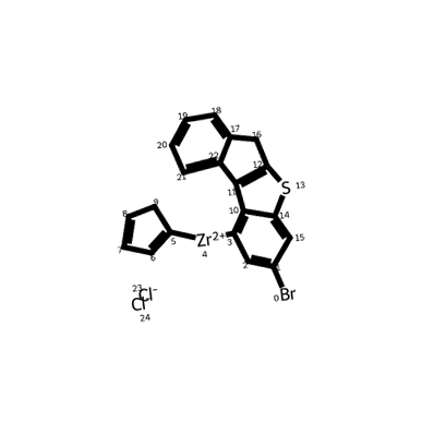 Brc1c[c]([Zr+2][C]2=CC=CC2)c2c3c(sc2c1)Cc1ccccc1-3.[Cl-].[Cl-]